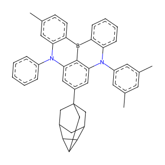 Cc1cc(C)cc(N2c3ccccc3B3c4ccc(C)cc4N(c4ccccc4)c4cc(C56CC7CC(C5)C5C(C6)C75)cc2c43)c1